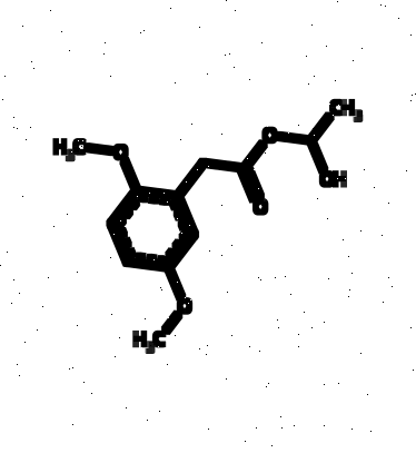 COc1ccc(OC)c(CC(=O)OC(C)O)c1